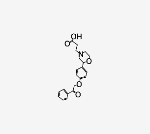 O=C(O)CCN1CCOC(c2ccc(OCC(=O)c3ccccc3)cc2)C1